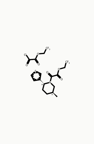 C[C@H]1CC[C@H](c2ccsc2)N(C(=O)C(=O)OCC(F)(F)F)C1.O=C(Cl)C(=O)OCC(F)(F)F